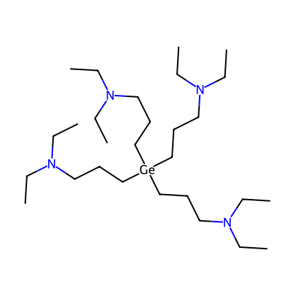 CCN(CC)CC[CH2][Ge]([CH2]CCN(CC)CC)([CH2]CCN(CC)CC)[CH2]CCN(CC)CC